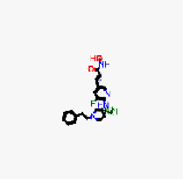 Cl.Cl.O=C(/C=C/c1cnc(N[C@@H]2CCN(CCc3ccccc3)C2)c(F)c1)NO